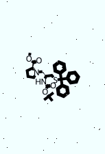 COC(=O)[C@@H]1CCCN1C[C@H](CSC(c1ccccc1)(c1ccccc1)c1ccccc1)NC(=O)OC(C)(C)C